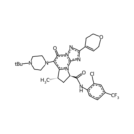 C[C@H]1C[C@H](C(=O)Nc2ccc(C(F)(F)F)cc2Cl)n2c1c(N1CCN(C(C)(C)C)CC1)c(=O)n1nc(C3=CCOCC3)nc21